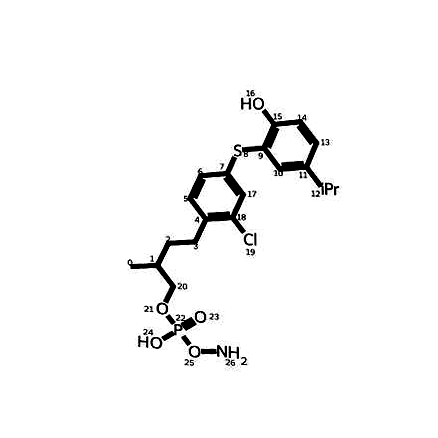 CC(CCc1ccc(Sc2cc(C(C)C)ccc2O)cc1Cl)COP(=O)(O)ON